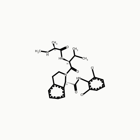 CN[C@@H](C)C(=O)N[C@H](C(=O)N1CCc2ccccc2[C@H]1C(=O)Nc1c(Cl)cccc1Cl)C(C)C